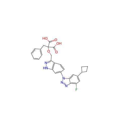 O=C(O)C(Cc1ccccc1)(OCc1n[nH]c2cc(-n3nnc4c(F)cc(C5CCC5)cc43)ccc12)C(=O)O